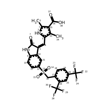 Cc1[nH]c(/C=C2\C(=O)Nc3ccc(S(=O)(=O)Cc4ccc(C(F)(F)F)cc4C(F)(F)F)cc32)c(C)c1C(=O)O